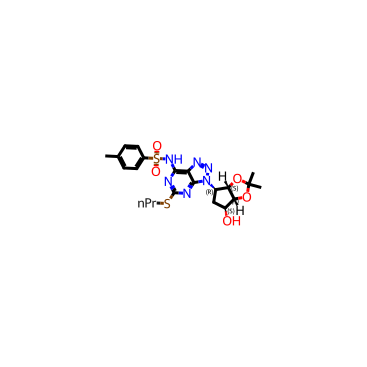 CCCSc1nc(NS(=O)(=O)c2ccc(C)cc2)c2nnn([C@@H]3C[C@H](O)[C@H]4OC(C)(C)O[C@H]43)c2n1